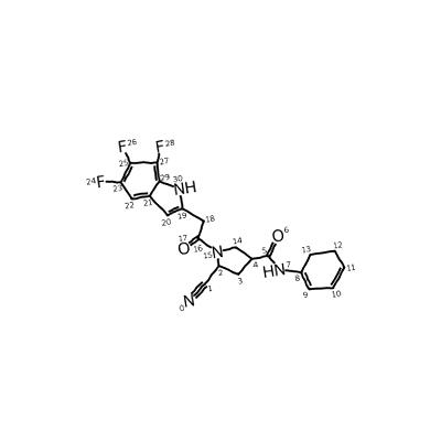 N#CC1CC(C(=O)NC2=CC=CCC2)CN1C(=O)Cc1cc2cc(F)c(F)c(F)c2[nH]1